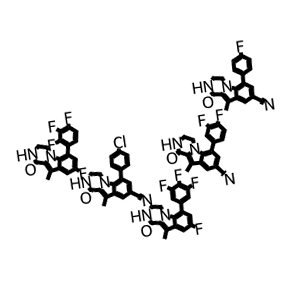 Cc1c2n(c3c(-c4cc(F)c(F)c(F)c4)cc(F)cc13)CCNC2=O.Cc1c2n(c3c(-c4ccc(Cl)cc4)cc(C#N)cc13)CCNC2=O.Cc1c2n(c3c(-c4ccc(F)c(F)c4)cc(C#N)cc13)CCNC2=O.Cc1c2n(c3c(-c4ccc(F)c(F)c4F)cc(F)cc13)CCNC2=O.Cc1c2n(c3c(-c4ccc(F)cc4)cc(C#N)cc13)CCNC2=O